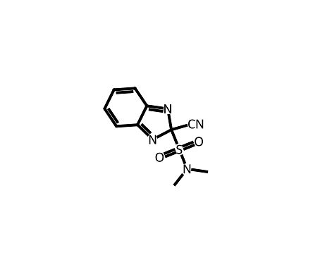 CN(C)S(=O)(=O)C1(C#N)N=c2ccccc2=N1